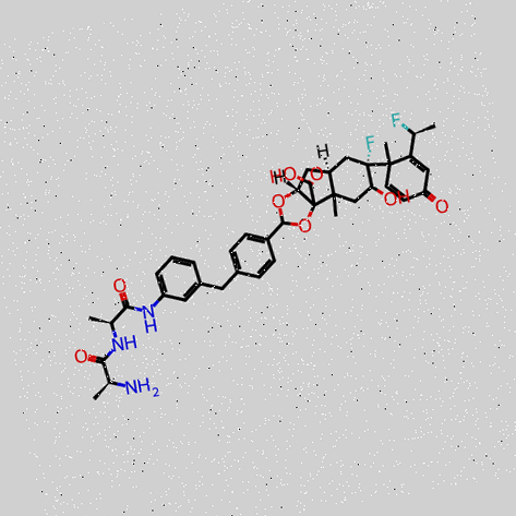 C[C@H](N)C(=O)N[C@@H](C)C(=O)Nc1cccc(Cc2ccc(C3O[C@@H]4C[C@H]5C[C@@](F)(C6(C)C=CC(=O)C=C6[C@H](C)F)C(O)CC5(C)C4(C(=O)O)O3)cc2)c1